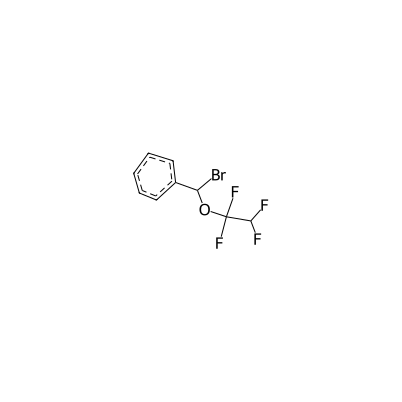 FC(F)C(F)(F)OC(Br)c1ccccc1